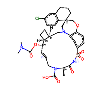 C[C@@H]1C(=O)NS(=O)(=O)c2ccc3c(c2)N(C[C@@H]2CC[C@H]2[C@@H](OC(=O)N(C)C)/C=C/CN1C(=O)O)C[C@@]1(CCCc2cc(Cl)ccc21)CO3